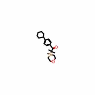 CC(C)(C(=O)c1ccc(C2CCCCC2)cc1)S1(C)CCOCC1